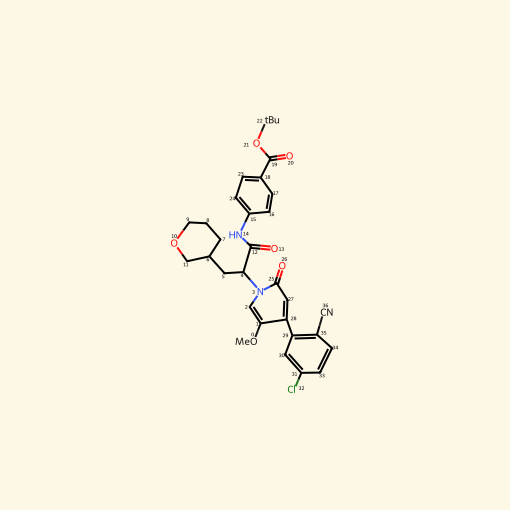 COc1cn(C(CC2CCCOC2)C(=O)Nc2ccc(C(=O)OC(C)(C)C)cc2)c(=O)cc1-c1cc(Cl)ccc1C#N